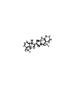 Cc1cccc(NC(=O)c2nc(CC3=CC=CCC3)n(C)n2)c1F